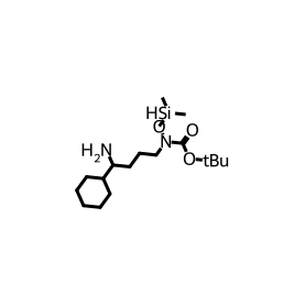 C[SiH](C)ON(CCCC(N)C1CCCCC1)C(=O)OC(C)(C)C